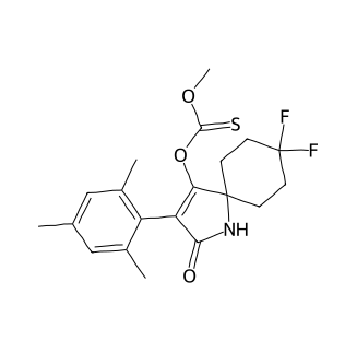 COC(=S)OC1=C(c2c(C)cc(C)cc2C)C(=O)NC12CCC(F)(F)CC2